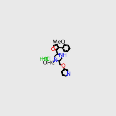 COc1ccccc1-c1ccoc1C1CN(C=O)C(COc2cccnc2)CN1.Cl.Cl